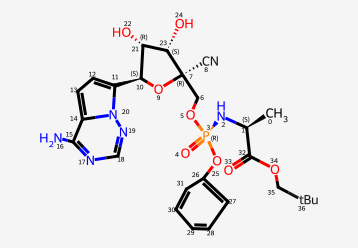 C[C@H](N[P@@](=O)(OC[C@@]1(C#N)O[C@@H](c2ccc3c(N)ncnn23)[C@H](O)[C@@H]1O)Oc1ccccc1)C(=O)OCC(C)(C)C